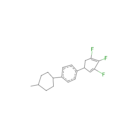 CC1CCC(c2ccc(C3C=C(F)C(F)=C(F)C3)cc2)CC1